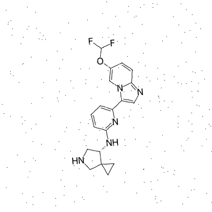 FC(F)Oc1ccc2ncc(-c3cccc(N[C@H]4CNCC45CC5)n3)n2c1